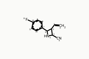 C=CC1C(C#N)NC1c1ccc(F)cc1